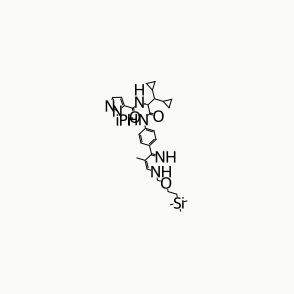 C/C(=C/NCOCC[Si](C)(C)C)C(=N)c1ccc(NC(=O)[C@@H](NC(=O)c2ccnn2C(C)C)C(C2CC2)C2CC2)cc1